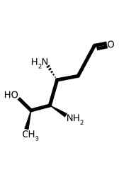 C[C@@H](O)[C@H](N)[C@H](N)CC=O